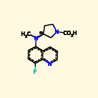 CN(c1ccc(F)c2ncccc12)[C@H]1CCN(C(=O)O)C1